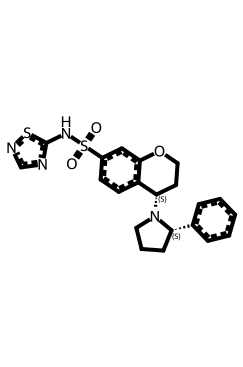 O=S(=O)(Nc1ncns1)c1ccc2c(c1)OCC[C@@H]2N1CCC[C@H]1c1ccccc1